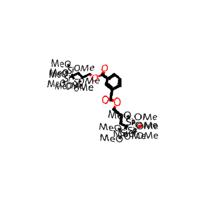 CO[Si](OC)(OC)C(CCCOC(=O)c1cccc(C(=O)OCCCC([Si](OC)(OC)OC)([Si](OC)(OC)OC)[Si](OC)(OC)OC)c1)([Si](OC)(OC)OC)[Si](OC)(OC)OC